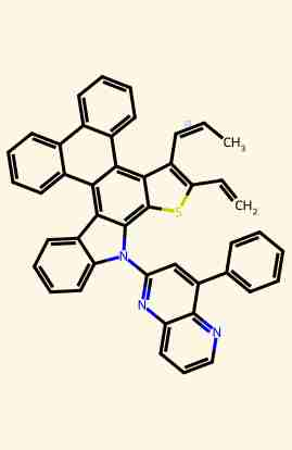 C=Cc1sc2c(c1/C=C\C)c1c3ccccc3c3ccccc3c1c1c3ccccc3n(-c3cc(-c4ccccc4)c4ncccc4n3)c21